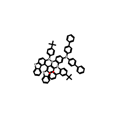 CC(C)(C)c1ccc(N2B3c4ccc(N(c5ccc(-c6ccccc6)cc5)c5ccc(-c6ccccc6)cc5)cc4N(c4ccc(C(C)(C)C)cc4-c4ccccc4)c4cc5c(sc6ccccc65)c(c43)-c3c2ccc2sc4ccccc4c32)cc1